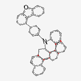 C1=CC(c2ccccc2)=C(N(c2ccc(-c3cccc4oc5ccccc5c34)cc2)c2ccccc2-c2cccc(-c3cccc4ccccc34)c2)CC1